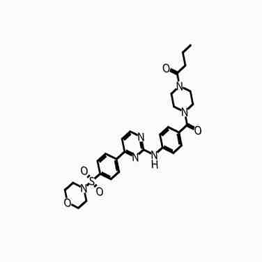 CCCC(=O)N1CCN(C(=O)c2ccc(Nc3nccc(-c4ccc(S(=O)(=O)N5CCOCC5)cc4)n3)cc2)CC1